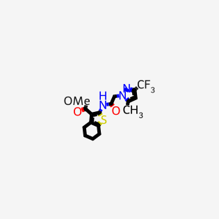 COC(=O)c1c(NC(=O)Cn2nc(C(F)(F)F)cc2C)sc2c1CCCC2